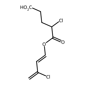 C=C(Cl)C=COC(=O)C(Cl)CCC(=O)O